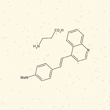 CNc1ccc(C=Cc2ccnc3ccccc23)cc1.NCCC(=O)O